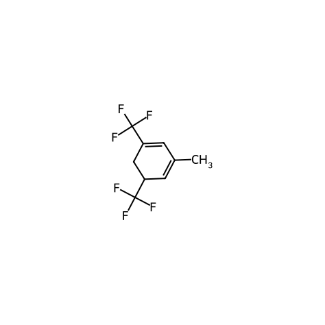 CC1=CC(C(F)(F)F)CC(C(F)(F)F)=C1